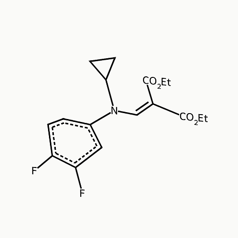 CCOC(=O)C(=CN(c1ccc(F)c(F)c1)C1CC1)C(=O)OCC